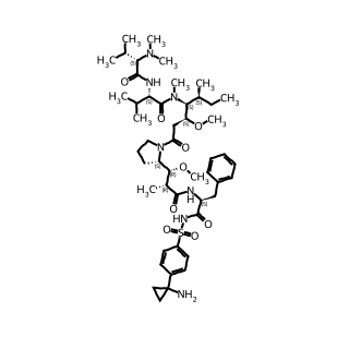 CC[C@H](C)[C@@H]([C@H](CC(=O)N1CCC[C@H]1[C@H](OC)[C@@H](C)C(=O)N[C@@H](Cc1ccccc1)C(=O)NS(=O)(=O)c1ccc(C2(N)CC2)cc1)OC)N(C)C(=O)[C@@H](NC(=O)[C@H](C(C)C)N(C)C)C(C)C